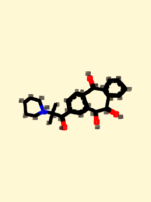 CC(C)(C(=O)c1ccc2c(c1)C(=O)C(=O)c1ccccc1C2=O)N1CCCCC1